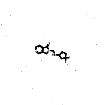 O=C1c2ccncc2CN1CNC1CCC(F)(F)C1